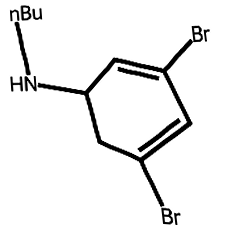 CCCCNC1C=C(Br)C=C(Br)C1